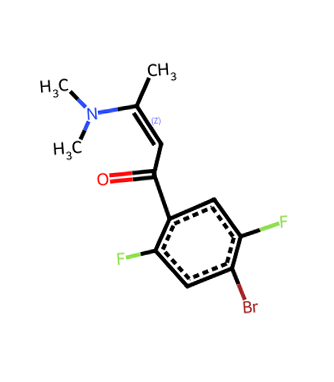 C/C(=C/C(=O)c1cc(F)c(Br)cc1F)N(C)C